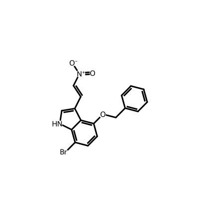 O=[N+]([O-])/C=C/c1c[nH]c2c(Br)ccc(OCc3ccccc3)c12